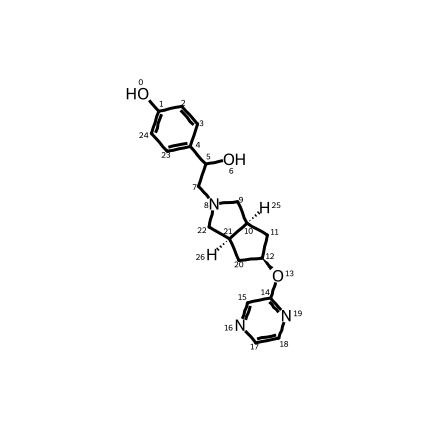 Oc1ccc(C(O)CN2C[C@H]3C[C@@H](Oc4cnccn4)C[C@H]3C2)cc1